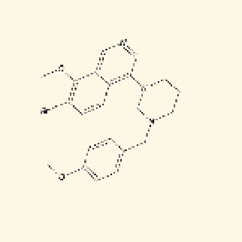 COc1ccc(CN2CCCN(c3cncc4c(OC)c(Br)ccc34)C2)cc1